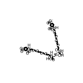 O=C(CCOCCOCCOCCOCCNc1ccc([N+](=O)[O-])cc1[N+](=O)[O-])N[C@@H](CSSC[C@H](NC(=O)CCOCCOCCOCCOCCNc1ccc([N+](=O)[O-])cc1[N+](=O)[O-])C(=O)O)C(=O)O